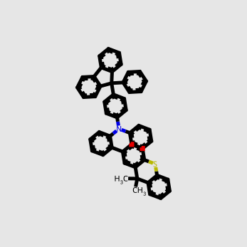 CC1(C)c2ccccc2Sc2ccc(-c3ccccc3N(c3ccccc3)c3ccc(C4(c5ccccc5)c5ccccc5-c5ccccc54)cc3)cc21